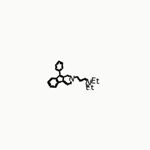 CCN(CC)CCCN1CC=C2C(=C(c3ccccc3)c3ccccc32)C1